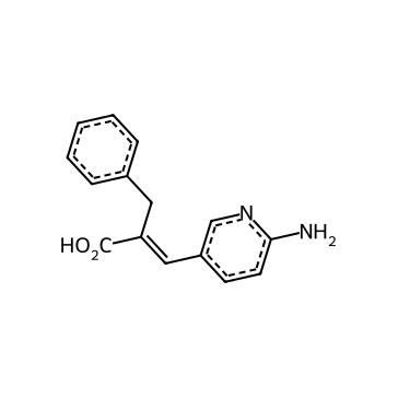 Nc1ccc(C=C(Cc2ccccc2)C(=O)O)cn1